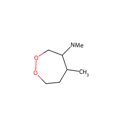 CNC1COOCCC1C